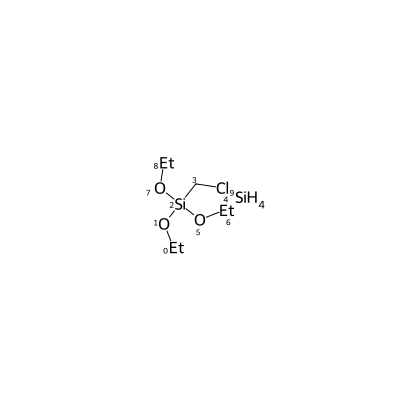 CCO[Si](CCl)(OCC)OCC.[SiH4]